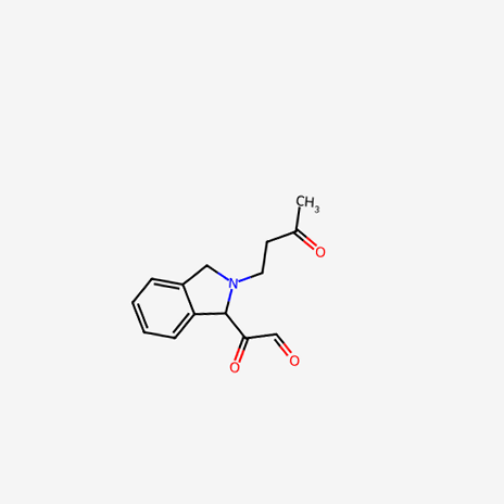 CC(=O)CCN1Cc2ccccc2C1C(=O)C=O